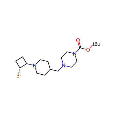 CC(C)(C)OC(=O)N1CCN(CC2CCN(C3CC[C@H]3Br)CC2)CC1